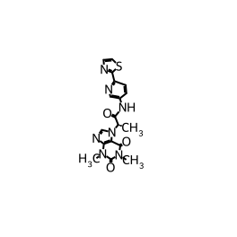 C[C@H](C(=O)Nc1ccc(-c2nccs2)nc1)n1cnc2c1c(=O)n(C)c(=O)n2C